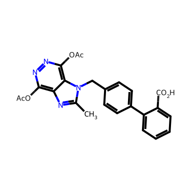 CC(=O)Oc1nnc(OC(C)=O)c2c1nc(C)n2Cc1ccc(-c2ccccc2C(=O)O)cc1